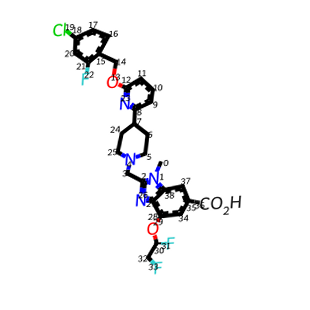 Cn1c(CN2CCC(c3cccc(OCc4ccc(Cl)cc4F)n3)CC2)nc2c(O[C@@H](F)CF)cc(C(=O)O)cc21